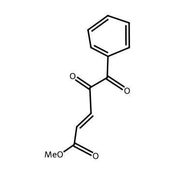 COC(=O)/C=C/C(=O)C(=O)c1ccccc1